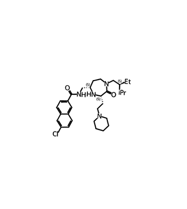 CC[C@H](CN1CC[C@@H](CNC(=O)c2ccc3cc(Cl)ccc3c2)N[C@@H](CCN2CCCCC2)C1=O)C(C)C